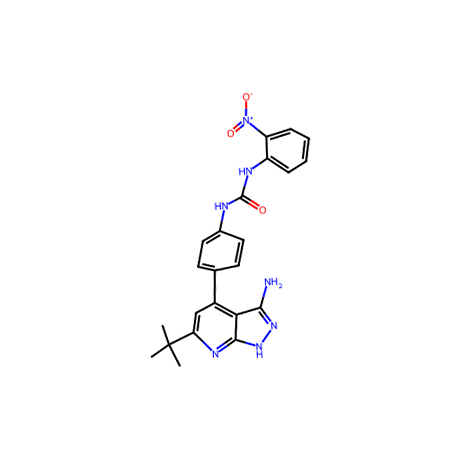 CC(C)(C)c1cc(-c2ccc(NC(=O)Nc3ccccc3[N+](=O)[O-])cc2)c2c(N)n[nH]c2n1